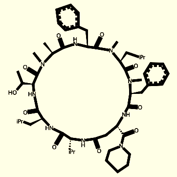 CC(C)C[C@@H]1NC(=O)[C@@H](C(C)C)NC(=O)C[C@@H](C(=O)N2CCCCC2)NC(=O)[C@H](Cc2ccccc2)N(C)C(=O)[C@H](CC(C)C)N(C)C(=O)[C@H](Cc2ccccc2)NC(=O)[C@H](C)N(C)C(=O)[C@H](C(C)O)NC1=O